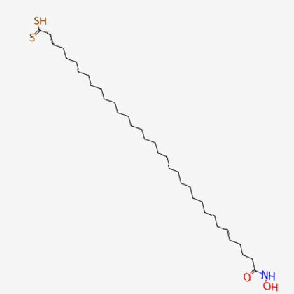 O=C(CCCCCCCCCCCCCCCCCCCCCCCCCCCCCCCCCC(=S)S)NO